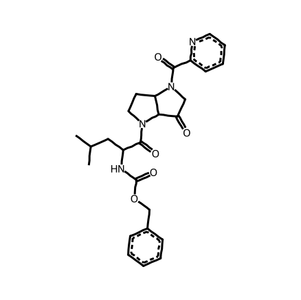 CC(C)CC(NC(=O)OCc1ccccc1)C(=O)N1CCC2C1C(=O)CN2C(=O)c1ccccn1